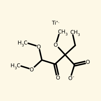 CCC(OC)(C(=O)[O-])C(=O)C(OC)OC.[Ti+]